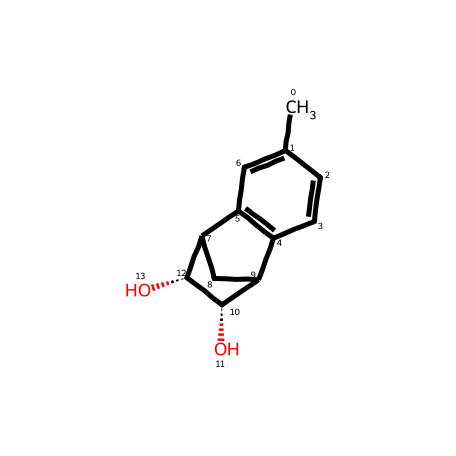 Cc1ccc2c(c1)C1CC2[C@H](O)[C@@H]1O